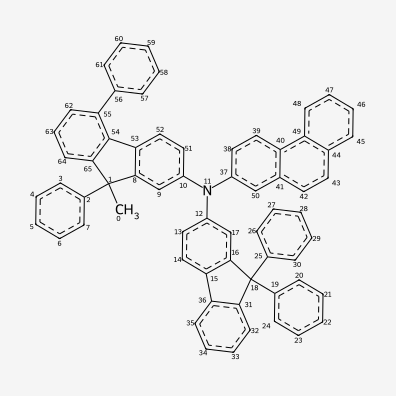 CC1(c2ccccc2)c2cc(N(c3ccc4c(c3)C(c3ccccc3)(c3ccccc3)c3ccccc3-4)c3ccc4c(ccc5ccccc54)c3)ccc2-c2c(-c3ccccc3)cccc21